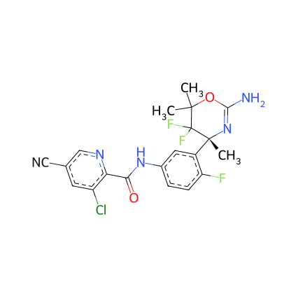 CC1(C)OC(N)=N[C@](C)(c2cc(NC(=O)c3ncc(C#N)cc3Cl)ccc2F)C1(F)F